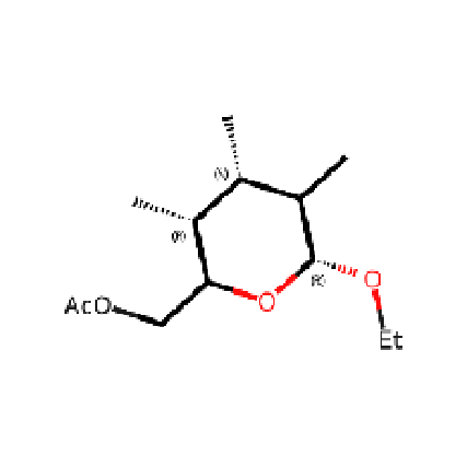 CCO[C@@H]1OC(COC(C)=O)[C@H](C)[C@H](C)C1C